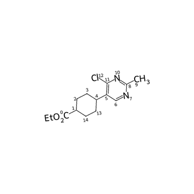 CCOC(=O)C1CCC(c2cnc(C)nc2Cl)CC1